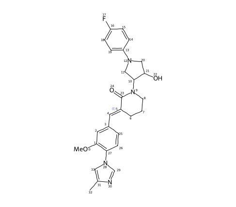 COc1cc(/C=C2\CCCN(C3CN(c4ccc(F)cc4)CC3O)C2=O)ccc1-n1cnc(C)c1